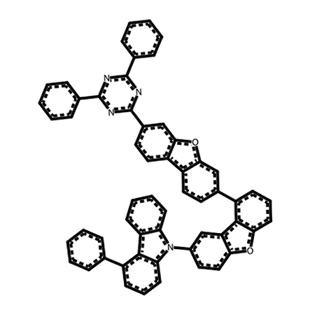 c1ccc(-c2nc(-c3ccccc3)nc(-c3ccc4c(c3)oc3cc(-c5cccc6oc7ccc(-n8c9ccccc9c9c(-c%10ccccc%10)cccc98)cc7c56)ccc34)n2)cc1